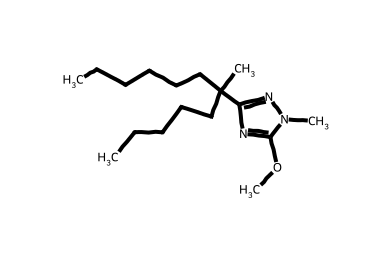 CCCCCCC(C)(CCCCC)c1nc(OC)n(C)n1